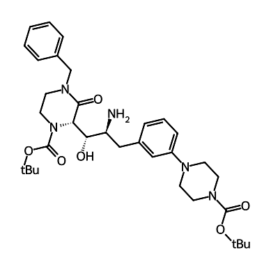 CC(C)(C)OC(=O)N1CCN(c2cccc(C[C@H](N)[C@H](O)[C@H]3C(=O)N(Cc4ccccc4)CCN3C(=O)OC(C)(C)C)c2)CC1